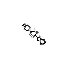 C[C@H](NC(=O)c1cn2ccccc2n1)C(=O)N1CCC2(CC1)CC2